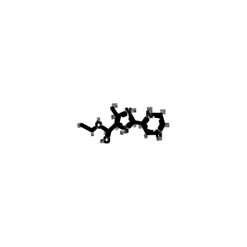 CCOC(=O)c1sc(-c2cnccn2)nc1C